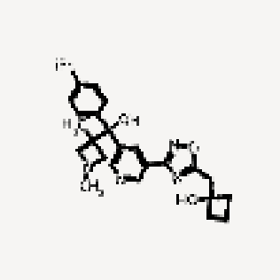 CC(C)c1ccc([C@](O)(c2cncc(-c3noc(CC4(O)CCC4)n3)c2)C2(C)CN(C)C2)cc1